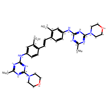 COc1nc(Nc2ccc(/C=C/c3ccc(Nc4nc(OC)nc(N5CCOCC5)n4)cc3S(=O)(=O)O)c(S(=O)(=O)O)c2)nc(N2CCOCC2)n1